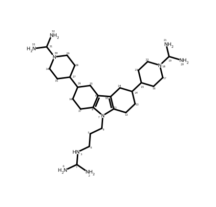 NC(N)NCCCn1c2c(c3c1CCC(C1CCN(C(N)N)CC1)C3)CC(C1CCN(C(N)N)CC1)CC2